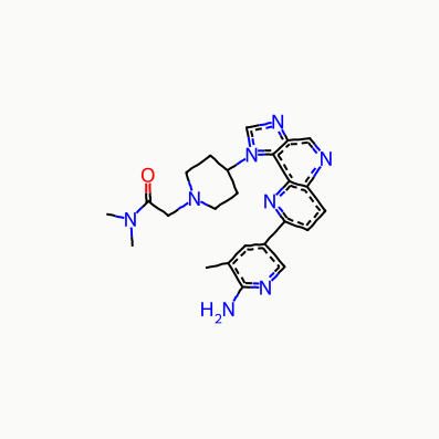 Cc1cc(-c2ccc3ncc4ncn(C5CCN(CC(=O)N(C)C)CC5)c4c3n2)cnc1N